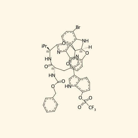 CC(C)[C@@H]1NC(=O)[C@@H](NC(=O)OCc2ccccc2)Cc2ccc3c(c2)C2(c4cccc(Br)c4N[C@H]2O3)c2oc1nc2-c1ncc(-c2c[nH]c3c(OS(=O)(=O)C(F)(F)F)cccc23)o1